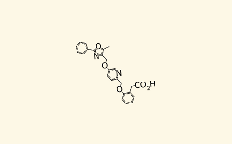 Cc1oc(-c2ccccc2)nc1COc1ccc(COc2ccccc2CC(=O)O)nc1